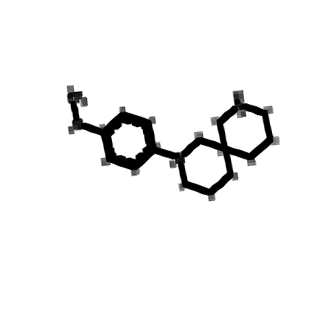 FC(F)(F)Oc1ccc(N2CCCC3(CCCNC3)C2)cc1